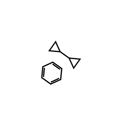 C1CC1C1CC1.c1ccccc1